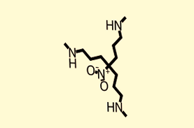 CNCCCC(CCCNC)(CCCNC)[N+](=O)[O-]